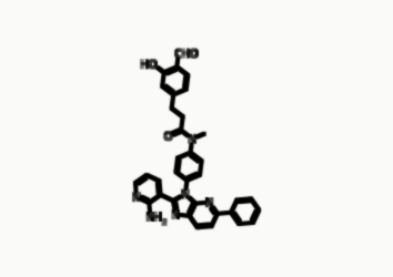 CN(C(=O)CCc1ccc(C=O)c(O)c1)c1ccc(-n2c(-c3cccnc3N)nc3ccc(-c4ccccc4)nc32)cc1